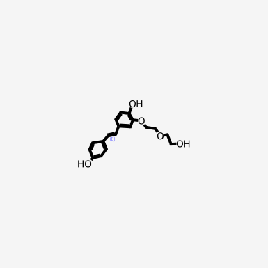 OCCOCCOc1cc(/C=C/c2ccc(O)cc2)ccc1O